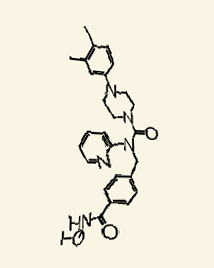 Cc1ccc(N2CCN(C(=O)N(Cc3ccc(C(=O)NOI)cc3)c3ccccn3)CC2)cc1C